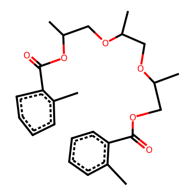 Cc1ccccc1C(=O)OCC(C)OCC(C)OCC(C)OC(=O)c1ccccc1C